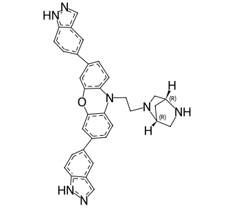 c1cc2c(cc1-c1ccc3[nH]ncc3c1)Oc1cc(-c3ccc4[nH]ncc4c3)ccc1N2CCN1C[C@H]2C[C@@H]1CN2